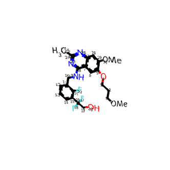 COCCCOc1cc2c(NCc3cccc(C(F)(F)CO)c3F)nc(C)nc2cc1OC